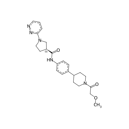 COCC(=O)N1CCC(c2ccc(NC(=O)[C@H]3CCN(c4cccnn4)C3)cc2)CC1